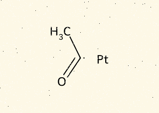 C[C]=O.[Pt]